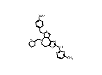 COc1ccc(Cn2ncc3c2N(CC2CCCO2)CCc2sc(Nc4nccc(C)n4)nc2-3)cc1